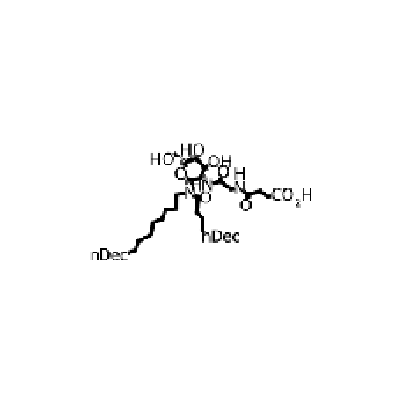 CCCCCCCCCCCCCCCCCCN(C(=O)CCCCCCCCCCCCC)[C@@H]1O[C@H](CO)[C@H](O)[C@H](O)[C@H]1NC(=O)CNC(=O)CCC(=O)O